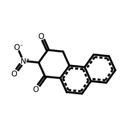 O=C1Cc2c(ccc3ccccc23)C(=O)C1[N+](=O)[O-]